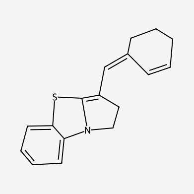 C1=CC(=CC2=C3Sc4ccccc4N3CC2)CCC1